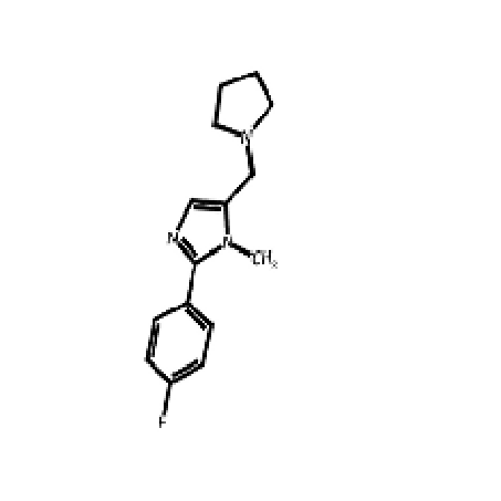 Cn1c(CN2CCCC2)cnc1-c1ccc(F)cc1